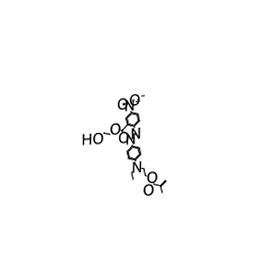 C=C(C)C(=O)OCCN(CC)c1ccc(N=Nc2ccc([N+](=O)[O-])cc2C(=O)OCCO)cc1